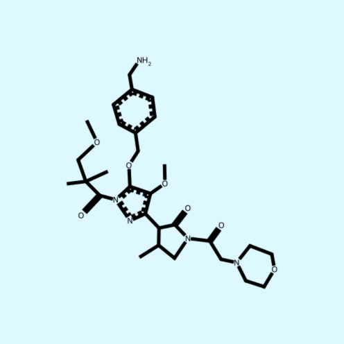 COCC(C)(C)C(=O)n1nc(C2C(=O)N(C(=O)CN3CCOCC3)CC2C)c(OC)c1OCc1ccc(CN)cc1